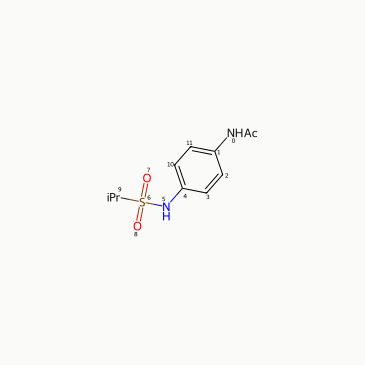 CC(=O)Nc1ccc(NS(=O)(=O)C(C)C)cc1